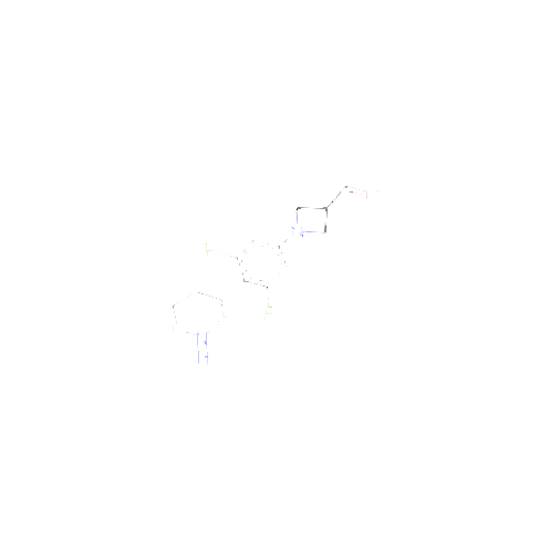 O=CC1CN(c2cc(F)c([C@H]3CCONO3)c(F)c2)C1